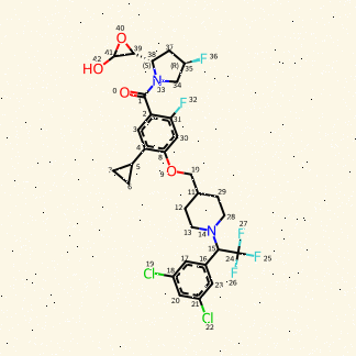 O=C(c1cc(C2CC2)c(OCC2CCN(C(c3cc(Cl)cc(Cl)c3)C(F)(F)F)CC2)cc1F)N1C[C@H](F)C[C@H]1C1OC1O